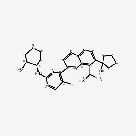 CC(C)c1c(C2(O)CCCC2)cnc2ccc(-c3nc(N[C@@H]4CCOC[C@@H]4O)ncc3F)cc12